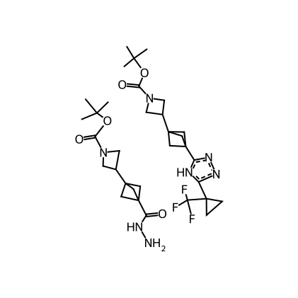 CC(C)(C)OC(=O)N1CC(C23CC(C(=O)NN)(C2)C3)C1.CC(C)(C)OC(=O)N1CC(C23CC(c4nnc(C5(C(F)(F)F)CC5)[nH]4)(C2)C3)C1